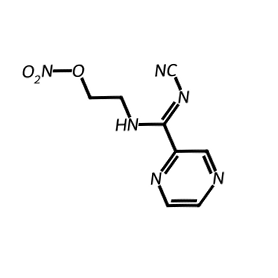 N#CN=C(NCCO[N+](=O)[O-])c1cnccn1